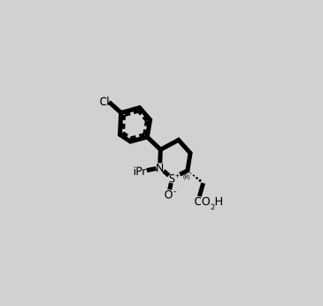 CC(C)N1C(c2ccc(Cl)cc2)CC[C@H](CC(=O)O)[S+]1[O-]